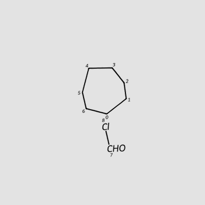 C1CCCCCC1.O=CCl